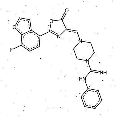 N=C(Nc1ccccc1)N1CCN(C=C2N=C(c3ccc(F)c4occc34)OC2=O)CC1